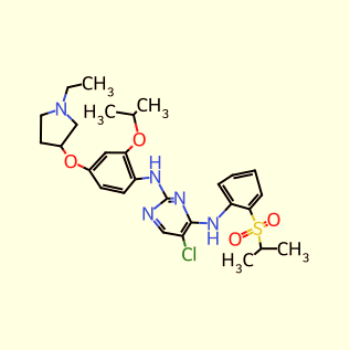 CCN1CCC(Oc2ccc(Nc3ncc(Cl)c(Nc4ccccc4S(=O)(=O)C(C)C)n3)c(OC(C)C)c2)C1